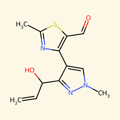 C=CC(O)c1nn(C)cc1-c1nc(C)sc1C=O